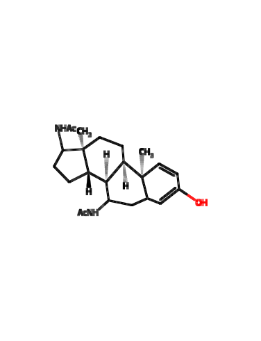 CC(=O)NC1CC2C=C(O)C=C[C@]2(C)[C@@H]2CC[C@]3(C)C(NC(C)=O)CC[C@H]3[C@H]12